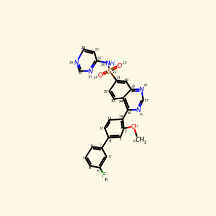 COc1cc(-c2cccc(F)c2)ccc1-c1ncnc2cc(S(=O)(=O)Nc3ccncn3)ccc12